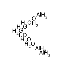 O.O.O.O.O.O.O.[AlH3].[AlH3].[AlH3]